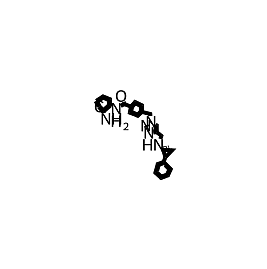 Nc1ccccc1NC(=O)c1ccc(Cn2cc(CN[C@@H]3CC3c3ccccc3)nn2)cc1